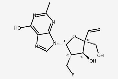 C=C[C@]1(CO)O[C@@H](n2cnc3c(O)nc(C)nc32)[C@@H](CF)[C@@H]1O